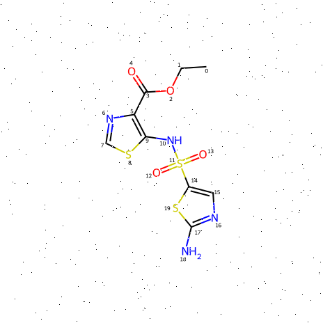 CCOC(=O)c1ncsc1NS(=O)(=O)c1cnc(N)s1